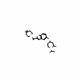 CC(C)N1CCC(Oc2ccc3oc(C(=O)N4CCC(F)(F)CC4)cc3c2)CC1I